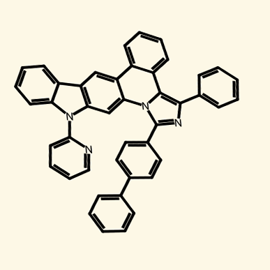 c1ccc(-c2ccc(-c3nc(-c4ccccc4)c4c5ccccc5c5cc6c7ccccc7n(-c7ccccn7)c6cc5n34)cc2)cc1